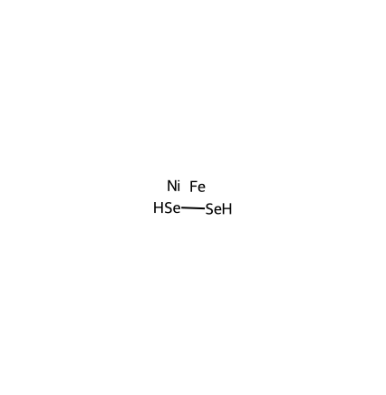 [Fe].[Ni].[SeH][SeH]